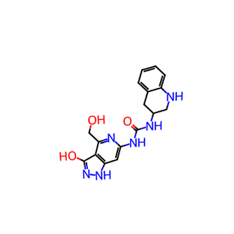 O=C(Nc1cc2[nH]nc(O)c2c(CO)n1)NC1CNc2ccccc2C1